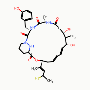 C/C(=C\C(C)S)[C@@H]1C/C=C/C=C/[C@@H](O)C(C)[C@@H](O)CC(=O)N[C@@H](C(C)C)C(=O)N[C@@H](Cc2cccc(O)c2)C(=O)N2CCC[C@H](N2)C(=O)O1